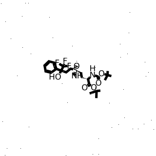 CC(C)(C)OC(=O)N[C@@H](CC[S@](=N)(=O)CCC(O)(c1ccccc1)C(F)(F)F)C(=O)OC(C)(C)C